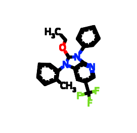 CCOC1N(c2ccccc2C)c2cc(C(F)(F)F)cnc2N1c1ccccc1